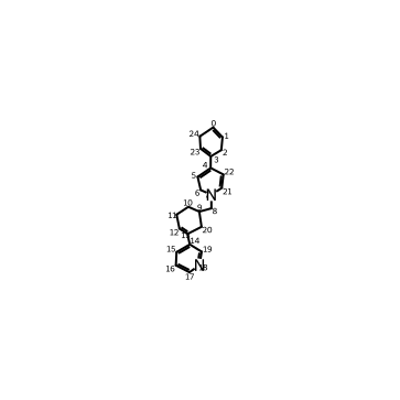 C1=CCC(C2=CCN(CC3CCC=C(c4cccnc4)C3)C=C2)=CC1